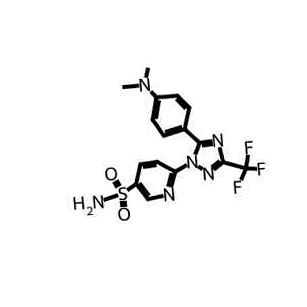 CN(C)c1ccc(-c2nc(C(F)(F)F)nn2-c2ccc(S(N)(=O)=O)cn2)cc1